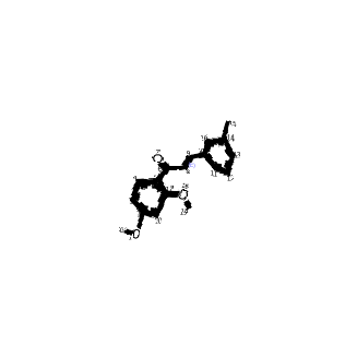 COc1ccc(C(=O)/C=C/c2cccc(C)c2)c(OC)c1